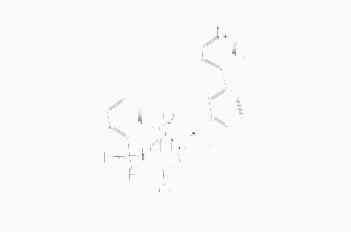 COCCN(C(C)(C)c1cccc(-c2ccncc2C)c1)S(=O)(=O)c1ccccc1C(F)(F)F